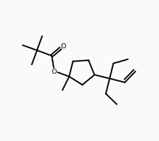 C=CC(CC)(CC)C1CCC(C)(OC(=O)C(C)(C)C)C1